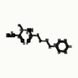 CC(C)COC(=O)C(C)NC(=O)CCCCc1ccccc1